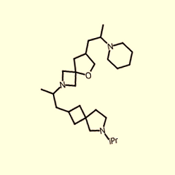 CC(C)N1CCC2(CC(CC(C)N3CC4(CC(CC(C)N5CCCCC5)CO4)C3)C2)C1